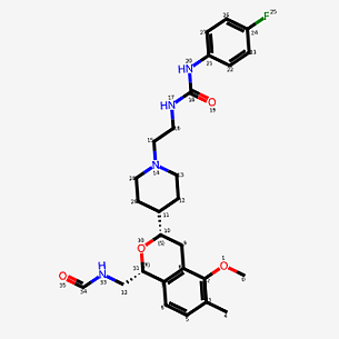 COc1c(C)ccc2c1C[C@@H](C1CCN(CCNC(=O)Nc3ccc(F)cc3)CC1)O[C@H]2CNC=O